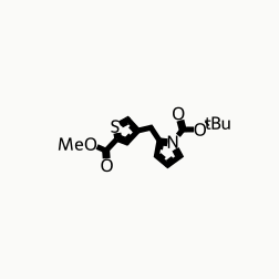 COC(=O)c1cc(Cc2cccn2C(=O)OC(C)(C)C)cs1